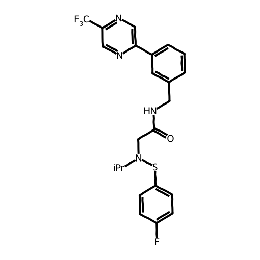 CC(C)N(CC(=O)NCc1cccc(-c2cnc(C(F)(F)F)cn2)c1)Sc1ccc(F)cc1